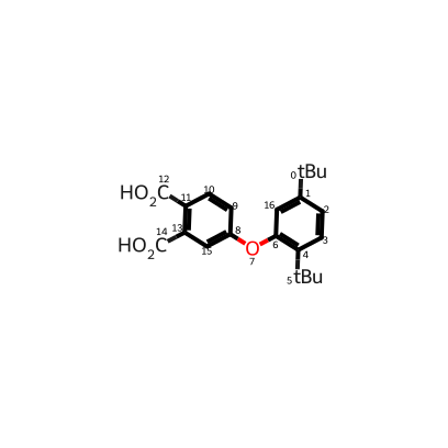 CC(C)(C)c1ccc(C(C)(C)C)c(Oc2ccc(C(=O)O)c(C(=O)O)c2)c1